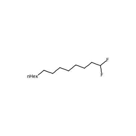 CCCCCCCCCCCCCC(F)F